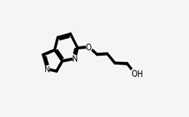 OCCCCOc1ccc2c(n1)CN=C2